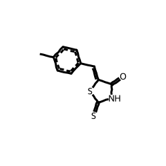 Cc1ccc(/C=C2\SC(=S)NC2=O)cc1